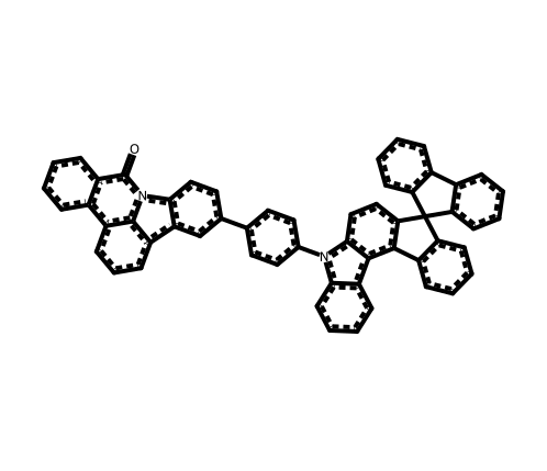 O=c1c2ccccc2c2cccc3c4cc(-c5ccc(-n6c7ccccc7c7c8c(ccc76)C6(c7ccccc7-c7ccccc76)c6ccccc6-8)cc5)ccc4n1c23